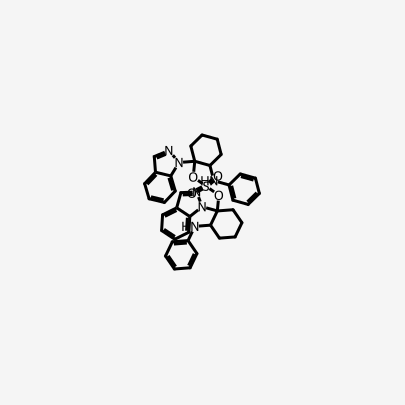 O=S(=O)(OC1(n2ncc3ccccc32)CCCCC1Nc1ccccc1)OC1(n2ncc3ccccc32)CCCCC1Nc1ccccc1